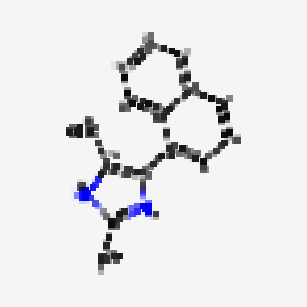 CCCc1nc(-c2cccc3ccccc23)c(C=O)[nH]1